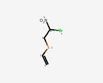 C=CSCC(Br)[N+](=O)[O-]